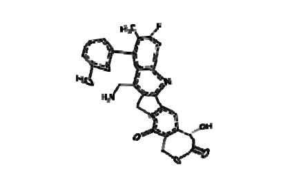 Cc1c(F)cc2nc3c(c(CN)c2c1-c1cccc(O)c1)Cn1c-3cc2c(c1=O)COC(=O)[C@H]2O